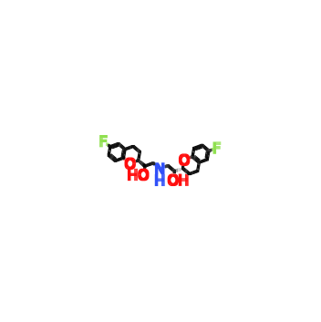 OC(CNCC(O)[C@H]1CCc2cc(F)ccc2O1)[C@@H]1CCc2cc(F)ccc2O1